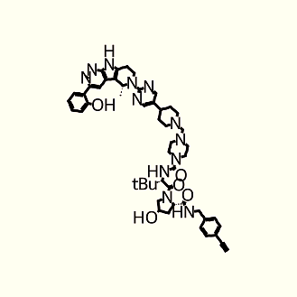 C#Cc1ccc(CNC(=O)[C@@H]2C[C@@H](O)CN2C(=O)[C@@H](NC(=O)N2CCN(CN3CCC(c4cnc(N5CCc6[nH]c7nnc(-c8ccccc8O)cc7c6[C@H]5C)nc4)CC3)CC2)C(C)(C)C)cc1